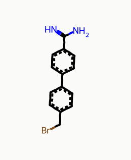 N=C(N)c1ccc(-c2ccc(CBr)cc2)cc1